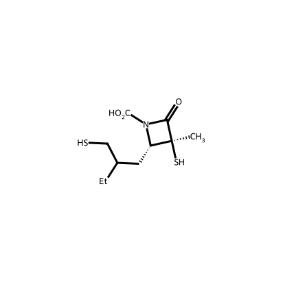 CCC(CS)C[C@@H]1N(C(=O)O)C(=O)[C@@]1(C)S